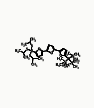 CC(C)S[Si](SC(C)C)(SC(C)C)c1ccc(-c2ccc(-c3ccc([Si]([Si](C)(C)C)([Si](C)(C)C)[Si](C)(C)C)o3)o2)o1